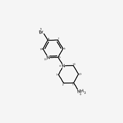 NC1CCN(c2ccc(Br)cn2)CC1